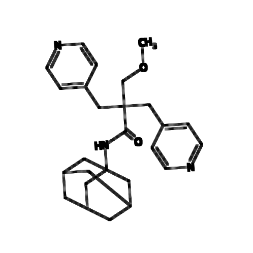 COCC(Cc1ccncc1)(Cc1ccncc1)C(=O)NC12CC3CC(CC(C3)C1)C2